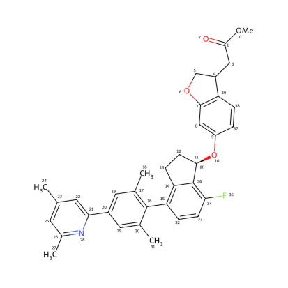 COC(=O)CC1COc2cc(O[C@@H]3CCc4c(-c5c(C)cc(-c6cc(C)cc(C)n6)cc5C)ccc(F)c43)ccc21